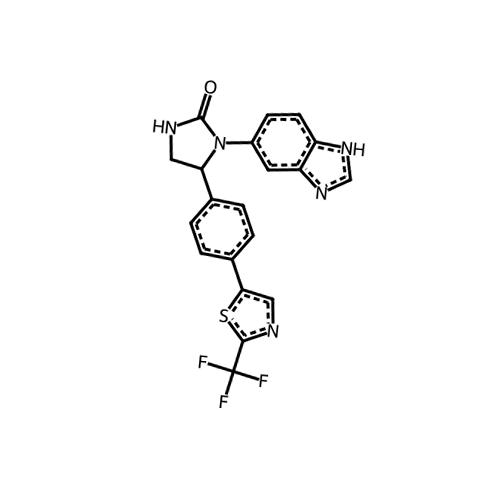 O=C1NCC(c2ccc(-c3cnc(C(F)(F)F)s3)cc2)N1c1ccc2[nH]cnc2c1